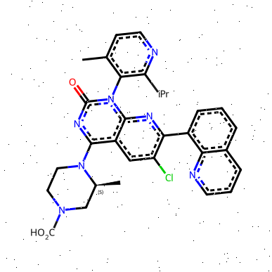 Cc1ccnc(C(C)C)c1-n1c(=O)nc(N2CCN(C(=O)O)C[C@@H]2C)c2cc(Cl)c(-c3cccc4cccnc34)nc21